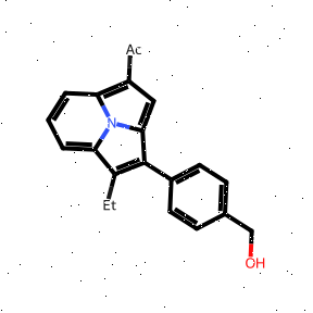 CCc1c(-c2ccc(CO)cc2)c2cc(C(C)=O)c3cccc1n32